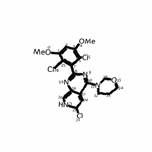 COc1cc(OC)c(Cl)c(-c2nc(N3CCCOC3)c3c(n2)=CNC(Cl)C=3)c1Cl